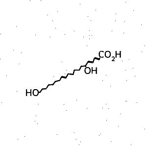 O=C(O)C=CC=CC(O)CCCCCC=CCCCCCCCO